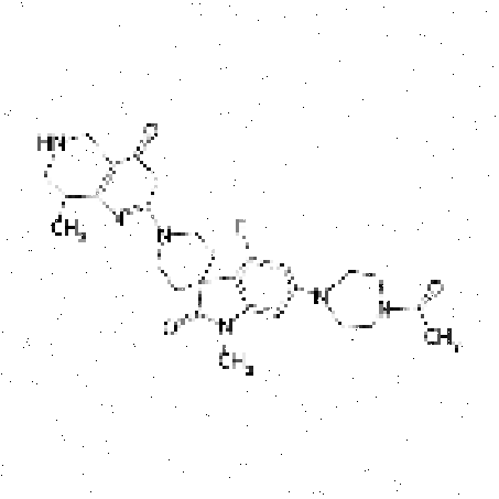 CC(=O)N1CCN(c2cc(F)c3c(c2)N(C)C(=O)C32CCN(C3=NC4=C(CNCC4C)C(=O)C3)CC2)CC1